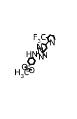 CS(=O)(=O)c1ccc(Nc2nnc3cc(-c4ncccc4C(F)(F)F)cnn23)cc1